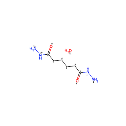 NNC(=O)CCCCC(=O)NN.O